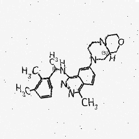 Cc1cccc([C@@H](C)Nc2nnc(C)c3ccc(N4CCN5CCOC[C@@H]5C4)cc23)c1C